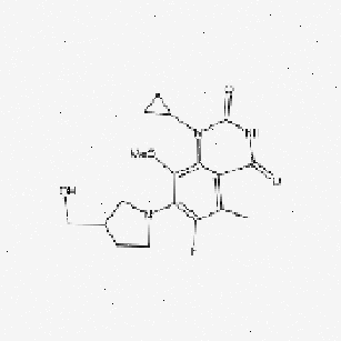 COc1c(N2CCC(CO)C2)c(F)c(C)c2c(=O)[nH]c(=O)n(C3CC3)c12